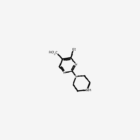 CCc1nc(N2CCNCC2)ncc1C(=O)O